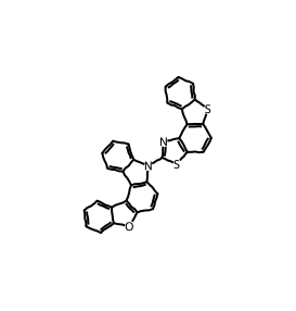 c1ccc2c(c1)oc1ccc3c(c4ccccc4n3-c3nc4c(ccc5sc6ccccc6c54)s3)c12